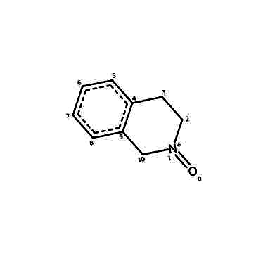 O=[N+]1CCc2ccccc2C1